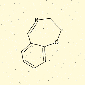 [C]1CN=Cc2ccccc2O1